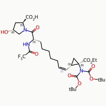 CCOC(=O)[C@@]1(N(C(=O)OC(C)(C)C)C(=O)OC(C)(C)C)C[C@H]1/C=C\CCCCC[C@H](NC(=O)C(F)(F)F)C(=O)N1C[C@H](O)C[C@H]1C(=O)O